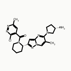 Cc1cc(C(=O)N2CCCC[C@H]2c2cc3nc(N4CC[C@H](N)C4)c(C)cn3n2)c(Cl)nn1